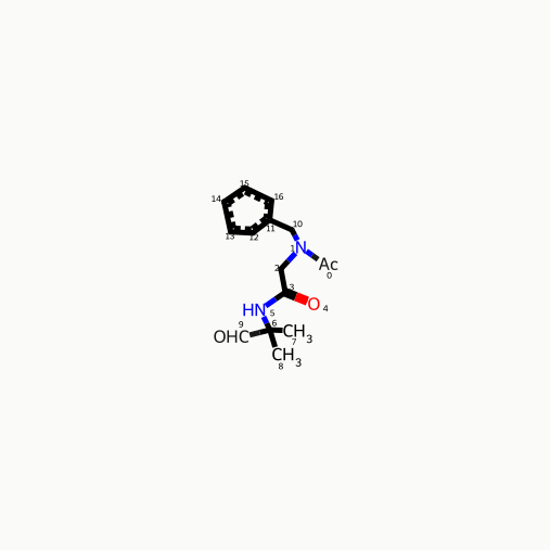 CC(=O)N(CC(=O)NC(C)(C)C=O)Cc1ccccc1